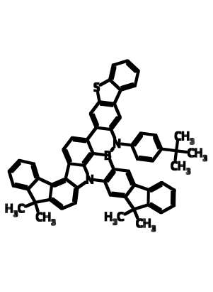 CC(C)(C)c1ccc(N2B3c4cc5c(cc4-n4c6ccc7c(c6c6ccc(c3c64)-c3cc4sc6ccccc6c4cc32)-c2ccccc2C7(C)C)C(C)(C)c2ccccc2-5)cc1